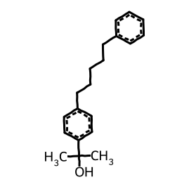 CC(C)(O)c1ccc(CCCCCc2ccccc2)cc1